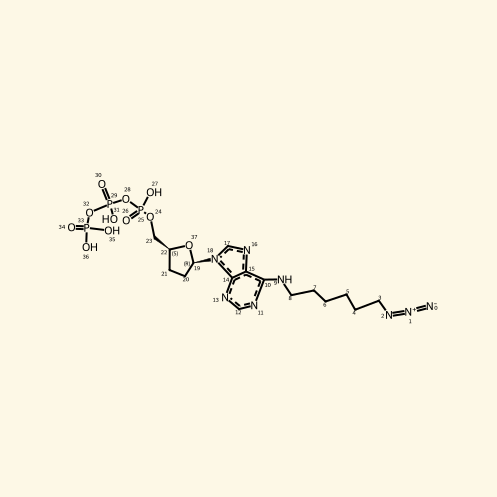 [N-]=[N+]=NCCCCCCNc1ncnc2c1ncn2[C@H]1CC[C@@H](COP(=O)(O)OP(=O)(O)OP(=O)(O)O)O1